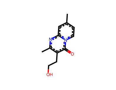 Cc1ccn2c(=O)c(CCO)c(C)nc2c1